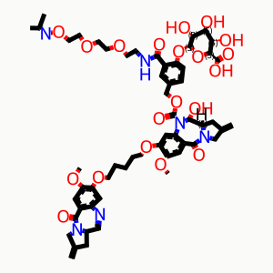 C=C1CC2C=Nc3cc(OCCCCCOc4cc5c(cc4OC)C(=O)N4CC(=C)C[C@H]4C(O)N5C(=O)OCc4ccc(O[C@@H]5O[C@H](C(=O)O)[C@@H](O)[C@H](O)[C@H]5O)c(C(=O)NCCOCCOCCON=C(C)C)c4)c(OC)cc3C(=O)N2C1